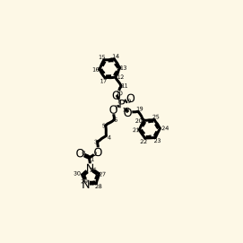 O=C(OCCCCOP(=O)(OCc1ccccc1)OCc1ccccc1)n1ccnc1